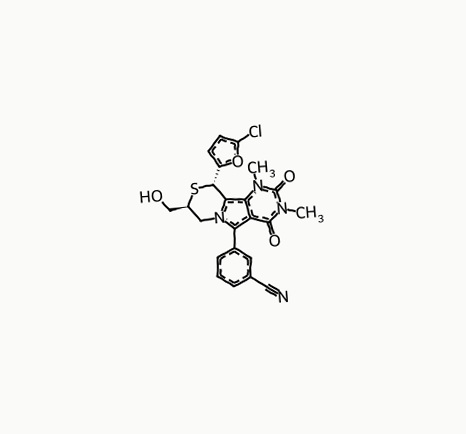 Cn1c(=O)c2c(-c3cccc(C#N)c3)n3c(c2n(C)c1=O)[C@@H](c1ccc(Cl)o1)S[C@H](CO)C3